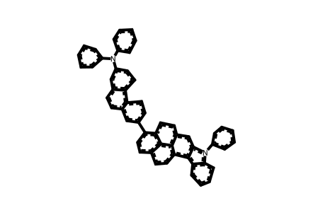 c1ccc(N(c2ccccc2)c2ccc3c(ccc4cc(-c5ccc6ccc7c8c(ccc5c68)cc5c7c6ccccc6n5-c5ccccc5)ccc43)c2)cc1